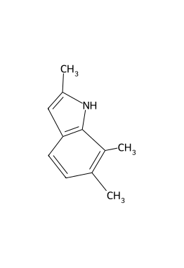 Cc1cc2ccc(C)c(C)c2[nH]1